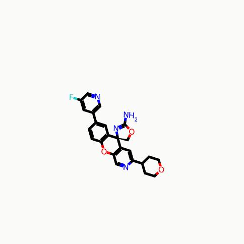 NC1=N[C@@]2(CO1)c1cc(-c3cncc(F)c3)ccc1Oc1cnc(C3CCOCC3)cc12